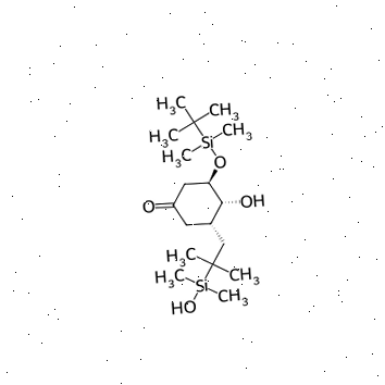 CC(C)(C[C@@H]1CC(=O)C[C@@H](O[Si](C)(C)C(C)(C)C)[C@@H]1O)[Si](C)(C)O